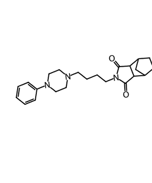 O=C1C2C3CCC(C3)C2C(=O)N1CCCCN1CCN(c2ccccc2)CC1